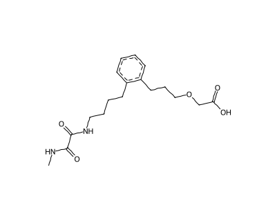 CNC(=O)C(=O)NCCCCc1ccccc1CCCOCC(=O)O